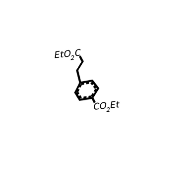 CCOC(=O)CCc1ccc(C(=O)OCC)cc1